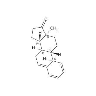 C[C@]12CC[C@H]3[C@@H](CC=C4C=CC=C[C@@H]43)[C@@H]1CCC2=O